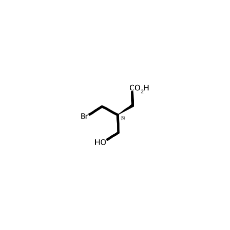 O=C(O)C[C@@H](CO)CBr